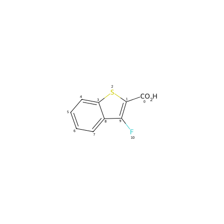 O=C(O)c1sc2ccccc2c1F